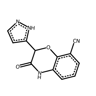 N#Cc1cccc2c1OC(c1ccn[nH]1)C(=O)N2